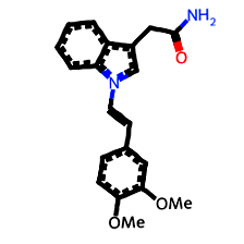 COc1ccc(C=Cn2cc(CC(N)=O)c3ccccc32)cc1OC